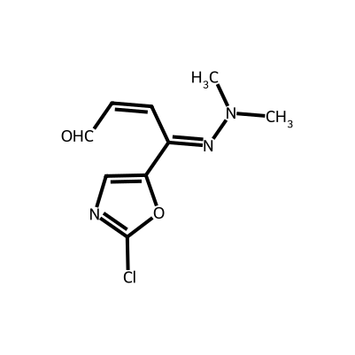 CN(C)/N=C(\C=C/C=O)c1cnc(Cl)o1